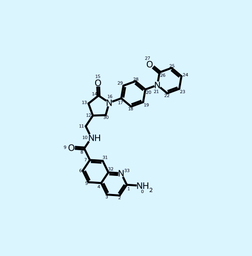 Nc1ccc2ccc(C(=O)NCC3CC(=O)N(c4ccc(-n5ccccc5=O)cc4)C3)cc2n1